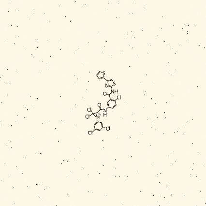 O=C(Nc1nc(-c2cccs2)cs1)c1cc(NC(=O)[C@H]2[C@H](c3cc(Cl)cc(Cl)c3)C2(Cl)Cl)ccc1Cl